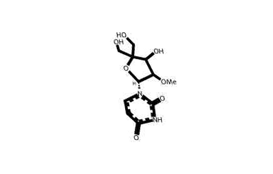 COC1C(O)C(CO)(CO)O[C@H]1n1ccc(=O)[nH]c1=O